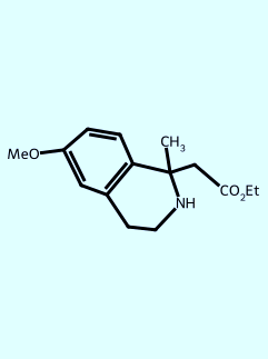 CCOC(=O)CC1(C)NCCc2cc(OC)ccc21